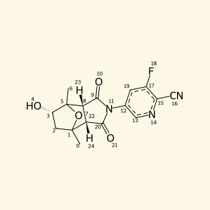 CC12C[C@H](O)C(C)(O1)[C@@H]1C(=O)N(c3cnc(C#N)c(F)c3)C(=O)[C@@H]12